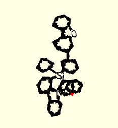 c1ccc(-n2c3ccccc3c3cccc([Si](c4ccccc4)(c4ccccc4)c4cccc(-c5ccc6c(c5)oc5ccccc56)c4)c32)cc1